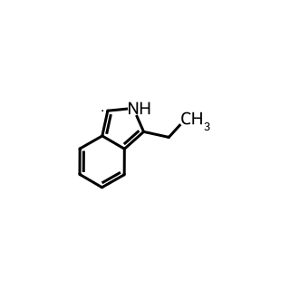 CCc1[nH][c]c2ccccc12